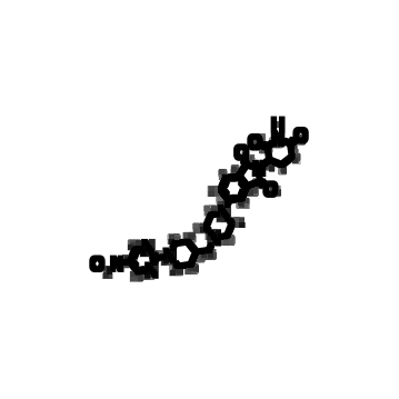 O=C1CCC(N2C(=O)c3ccc(N4CCN(CC5CCN(c6ncc([N+](=O)[O-])cn6)CC5)CC4)cc3C2=O)C(=O)N1